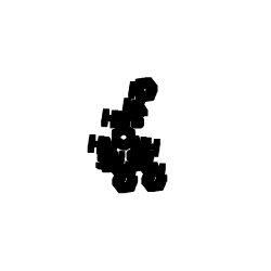 c1ccc(-c2csc(N[C@H]3C[C@@H](Nc4nc(-c5ccccn5)cs4)C[C@@H](Nc4nc(-c5ccccn5)cs4)C3)n2)nc1